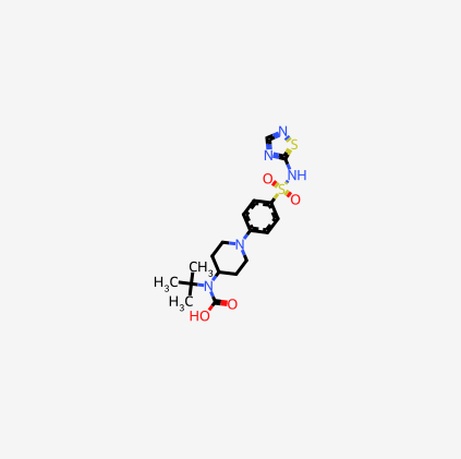 CC(C)(C)N(C(=O)O)C1CCN(c2ccc(S(=O)(=O)Nc3ncns3)cc2)CC1